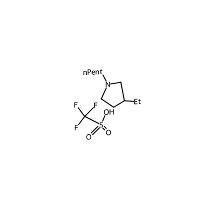 CCCCCN1CCC(CC)C1.O=S(=O)(O)C(F)(F)F